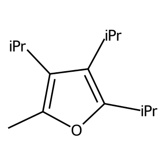 Cc1oc(C(C)C)c(C(C)C)c1C(C)C